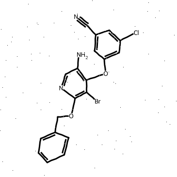 N#Cc1cc(Cl)cc(Oc2c(N)cnc(OCc3ccccc3)c2Br)c1